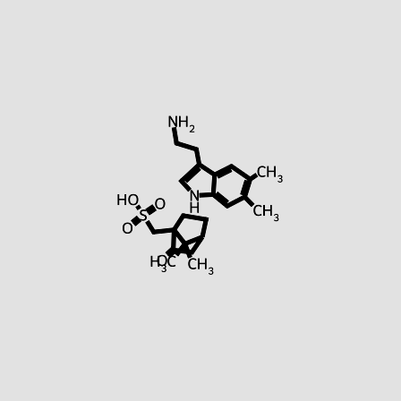 CC1(C)C2CCC1(CS(=O)(=O)O)C(=O)C2.Cc1cc2[nH]cc(CCN)c2cc1C